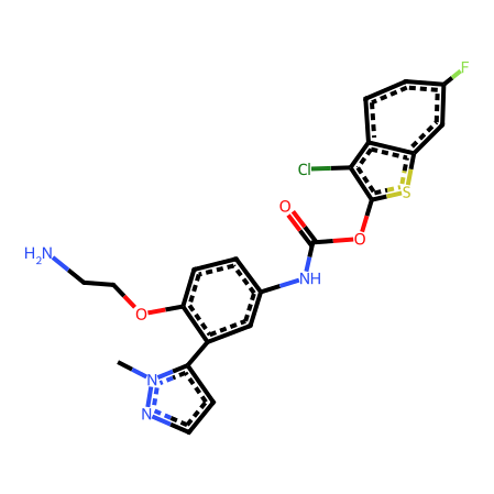 Cn1nccc1-c1cc(NC(=O)Oc2sc3cc(F)ccc3c2Cl)ccc1OCCN